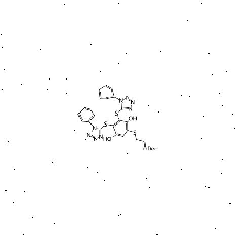 CCCCCCCCCCCCSc1cc(O)c(Sc2nnnn2-c2ccccc2)c(Sc2nnnn2-c2ccccc2)c1O